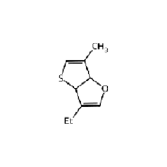 CCC1=COC2C(C)=CSC12